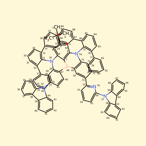 CC(C)(C)c1cc2c3c(c1)N(c1c(-c4ccccc4)cccc1-c1ccccc1)c1cc(-n4c5ccccc5c5ccccc54)ccc1B3c1cc(-c3cccc(-n4c5ccccc5c5ccccc54)n3)ccc1N2c1c(-c2ccccc2)cccc1-c1ccccc1